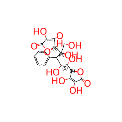 O=C1O[C@H]([C@@H](O)C(O)C(c2ccccc2)[C@@](O)(CO)[C@H]2OC(=O)C(O)=C2O)C(O)=C1O